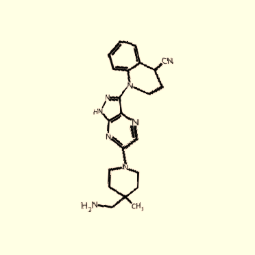 CC1(CN)CCN(c2cnc3c(N4CCC(C#N)c5ccccc54)n[nH]c3n2)CC1